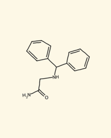 NC(=O)CNC(c1ccccc1)c1ccccc1